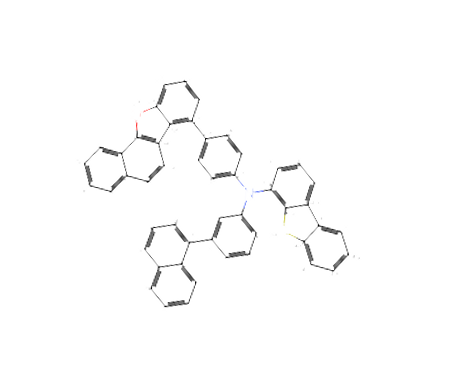 c1cc(-c2cccc3ccccc23)cc(N(c2ccc(-c3cccc4oc5c6ccccc6ccc5c34)cc2)c2cccc3c2sc2ccccc23)c1